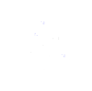 CC(C)(C(N)=O)[N+](=N)[O-]